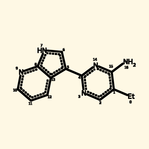 CCc1cnc(-c2c[nH]c3ncccc23)nc1N